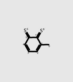 CC1=CC=CC(=S)C1=S